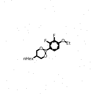 CCCCCCC1COB(c2ccc(OCC)c(F)c2F)OC1